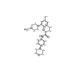 CN1CCN(c2cc(F)cc3c2OC(C(=O)Nc2ccc(N4CCOCC4)cc2)CC3)CC1